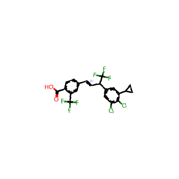 O=C(O)c1ccc(/C=C/C(c2cc(Cl)c(Cl)c(C3CC3)c2)C(F)(F)F)cc1C(F)(F)F